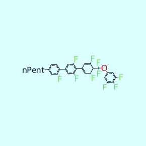 CCCCCc1ccc(-c2cc(F)c(C3=CC(F)C(C(F)(F)Oc4cc(F)c(F)c(F)c4)C(F)=C3)c(F)c2)c(F)c1